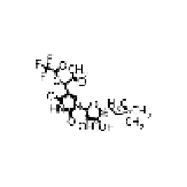 C=P(C)(C)CC[C@H]1OC(n2cc(C(OC(=O)C(F)(F)F)C(C)=O)c(=O)[nH]c2=O)[C@H](O)[C@@H]1O